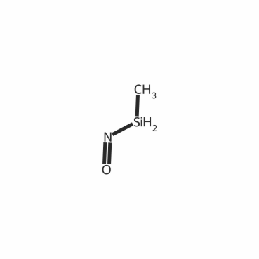 C[SiH2]N=O